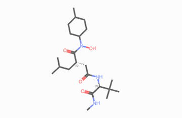 CNC(=O)[C@@H](NC(=O)C[C@H](CC(C)C)C(=O)N(O)C1CCC(C)CC1)C(C)(C)C